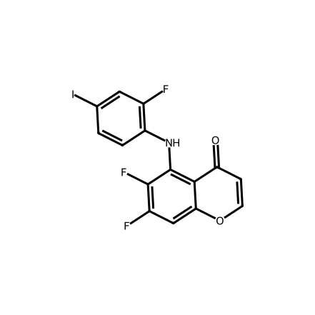 O=c1ccoc2cc(F)c(F)c(Nc3ccc(I)cc3F)c12